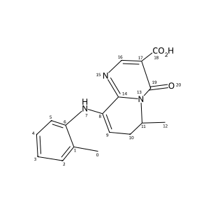 Cc1ccccc1NC1=CCC(C)n2c1ncc(C(=O)O)c2=O